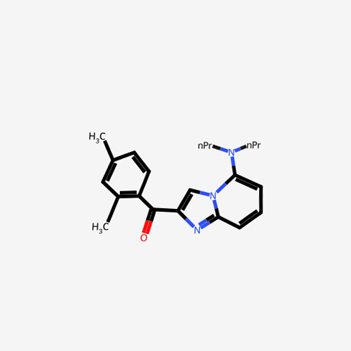 CCCN(CCC)c1cccc2nc(C(=O)c3ccc(C)cc3C)cn12